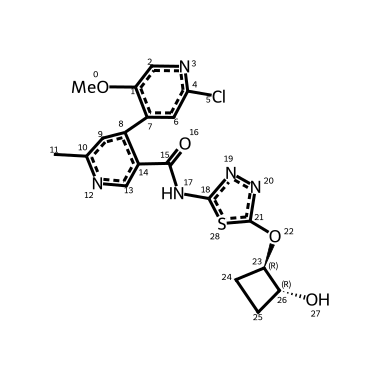 COc1cnc(Cl)cc1-c1cc(C)ncc1C(=O)Nc1nnc(O[C@@H]2CC[C@H]2O)s1